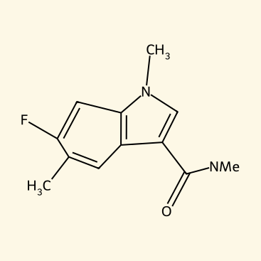 CNC(=O)c1cn(C)c2cc(F)c(C)cc12